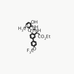 CCOC(=O)C[C@H](NC(=O)Nc1c(O)ccn(C)c1=O)c1cccc(-c2ccc(OC(F)(F)F)cc2)c1